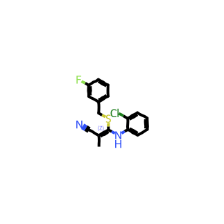 C/C(C#N)=C(\Nc1ccccc1Cl)SCc1cccc(F)c1